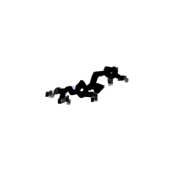 CC(C)/C=C/c1ccc2c(Cc3cnc(N)[nH]3)c[nH]c2c1